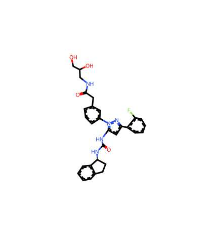 O=C(Cc1cccc(-n2nc(-c3ccccc3F)cc2NC(=O)N[C@H]2CCc3ccccc32)c1)NCC(O)CO